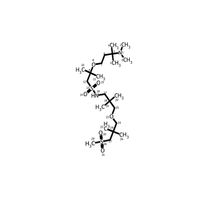 CN(C)C(C)(C)CCOC(C)(C)CS(=O)(=O)NCC(C)(C)COCC(C)(C)CS(C)(=O)=O